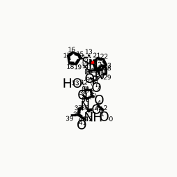 COCCO[C@H]1C(O[P@]2O[C@@H](C[Si](C)(c3ccccc3)c3ccccc3)[C@H]3CCCN32)[C@@H](CO)O[C@H]1n1cc(C)c(=O)[nH]c1=O